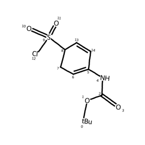 CC(C)(C)OC(=O)NC1=CCC(S(=O)(=O)Cl)C=C1